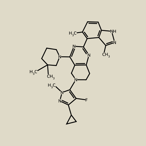 Cc1ccc2[nH]nc(C)c2c1-c1nc2c(c(N3CCCC(C)(C)C3)n1)CN(c1c(F)c(C3CC3)nn1C)CC2